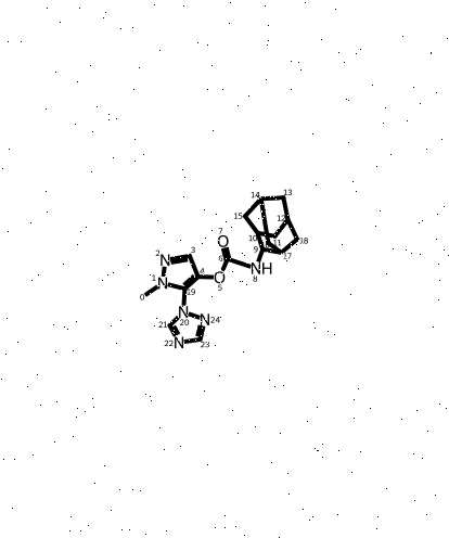 Cn1ncc(OC(=O)NC2C3CC4CC(C3)CC2C4)c1-n1cncn1